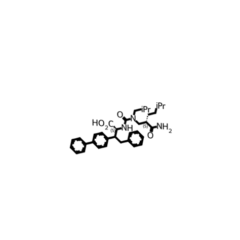 CC(C)CC[C@@H](CN(CC(C)C)C(=O)N[C@H](C(=O)O)C(Cc1ccccc1)c1ccc(-c2ccccc2)cc1)C(N)=O